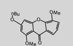 CCCCOc1cc(OC)c2c(=O)c3cccc(OC)c3oc2c1